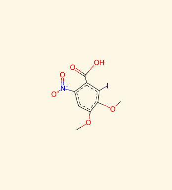 COc1cc([N+](=O)[O-])c(C(=O)O)c(I)c1OC